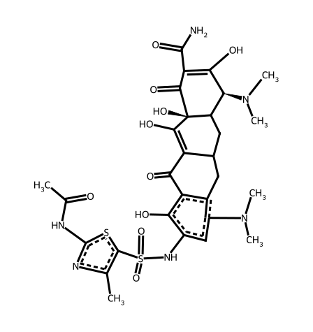 CC(=O)Nc1nc(C)c(S(=O)(=O)Nc2cc(N(C)C)c3c(c2O)C(=O)C2=C(O)[C@]4(O)C(=O)C(C(N)=O)=C(O)[C@@H](N(C)C)C4CC2C3)s1